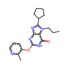 CCCn1c(C2CCCC2)nc2nc(Oc3cccnc3C)[nH]c(=O)c21